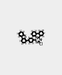 Clc1nc(-c2ccc(-c3cccc4c3sc3ccccc34)cc2)nc(-c2ccccc2-c2ccccc2)n1